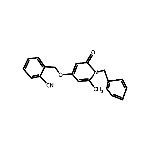 Cc1cc(OCc2ccccc2C#N)cc(=O)n1Cc1ccccc1